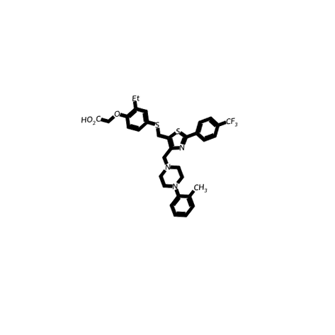 CCc1cc(SCc2sc(-c3ccc(C(F)(F)F)cc3)nc2CN2CCN(c3ccccc3C)CC2)ccc1OCC(=O)O